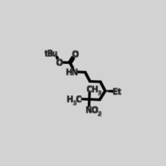 CC[C@H](CCCNC(=O)OC(C)(C)C)CC(C)(C)[N+](=O)[O-]